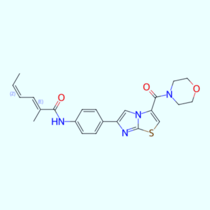 C/C=C\C=C(/C)C(=O)Nc1ccc(-c2cn3c(C(=O)N4CCOCC4)csc3n2)cc1